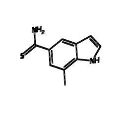 Cc1cc(C(N)=S)cc2cc[nH]c12